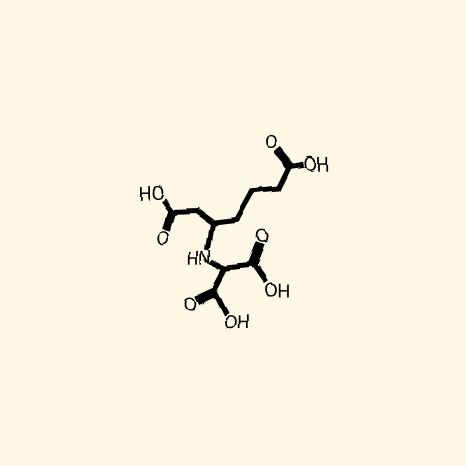 O=C(O)CCCC(CC(=O)O)NC(C(=O)O)C(=O)O